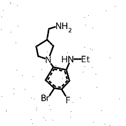 CCNc1cc(F)c(Br)cc1N1CCC(CN)C1